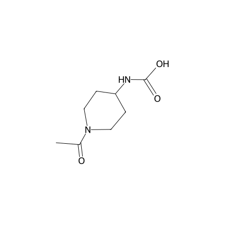 CC(=O)N1CCC(NC(=O)O)CC1